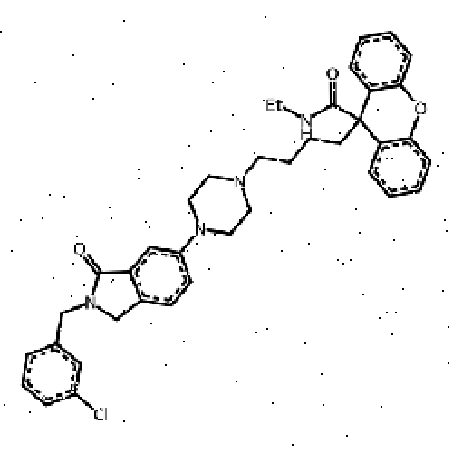 CCNC(=O)C1(CCCCN2CCN(c3ccc4c(c3)C(=O)N(Cc3cccc(Cl)c3)C4)CC2)c2ccccc2Oc2ccccc21